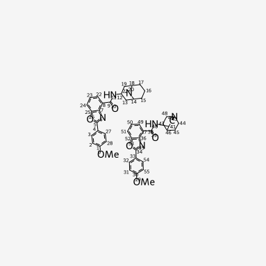 COc1ccc(-c2nc3c(C(=O)NC4CC5CCCC(C4)N5C)cccc3o2)cc1.COc1ccc(-c2nc3c(C(=O)NC4CN5CCC4CC5)cccc3o2)cc1